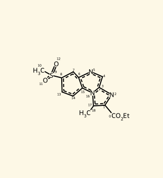 CCOC(=O)c1nc2cnc3cc(S(C)(=O)=O)ccc3n2c1C